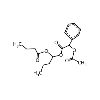 CCCC(=O)OC(CCC)OC(=O)C(OC(C)=O)c1ccccc1